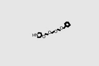 c1ccc(COCCOCCOCCOC2CCNCC2)cc1